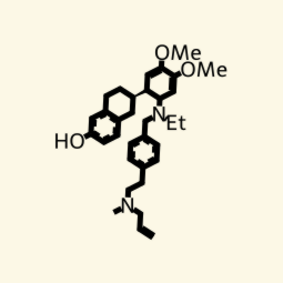 C=CCN(C)CCc1ccc(CN(CC)C2C=C(OC)C(OC)=CC2[C@@H]2CCc3cc(O)ccc3C2)cc1